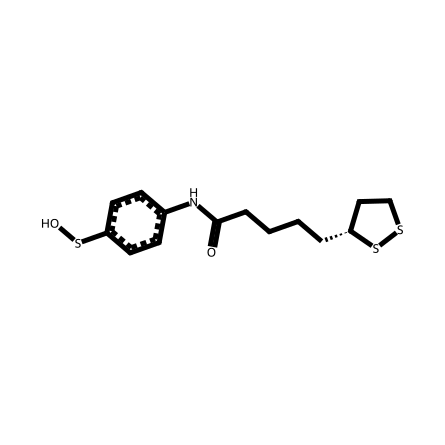 O=C(CCCC[C@@H]1CCSS1)Nc1ccc(SO)cc1